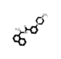 C[C@@H](NC(=O)c1cccc(N2CCN(C)CC2)c1)c1cccc2ccccc12